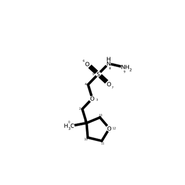 CC1(COCS(=O)(=O)NN)CCOC1